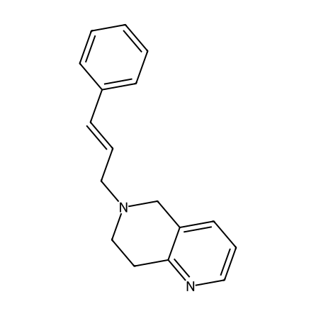 C(=C\c1ccccc1)/CN1CCc2ncccc2C1